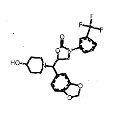 O=C1OC(C(c2ccc3c(c2)OCO3)N2CCC(O)CC2)CN1c1cccc(C(F)(F)F)c1